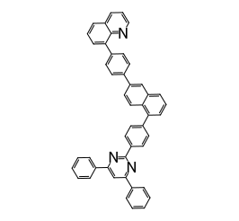 c1ccc(-c2cc(-c3ccccc3)nc(-c3ccc(-c4cccc5cc(-c6ccc(-c7cccc8cccnc78)cc6)ccc45)cc3)n2)cc1